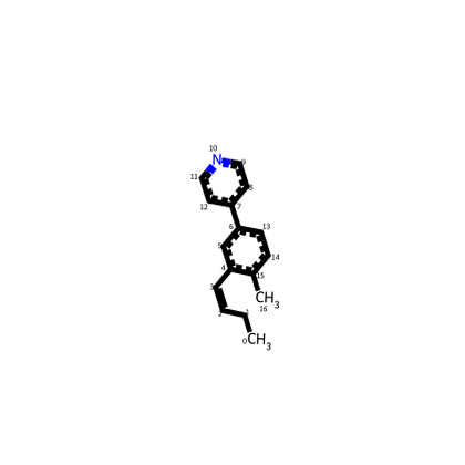 CC/C=C\c1cc(-c2ccncc2)ccc1C